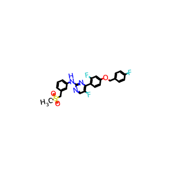 CS(=O)(=O)Cc1cccc(Nc2ncc(F)c(-c3ccc(OCc4ccc(F)cc4)cc3F)n2)c1